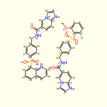 COc1cccc(F)c1S(=O)(=O)c1ccc(CNC(=O)c2ccc3nccn3c2)cc1.O=C(NCc1ccc(S(=O)(=O)c2cccc3cccnc23)cc1)c1ccc2nccn2c1